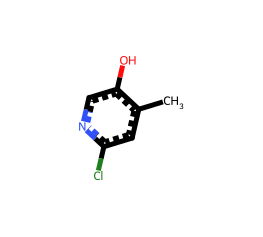 Cc1cc(Cl)ncc1O